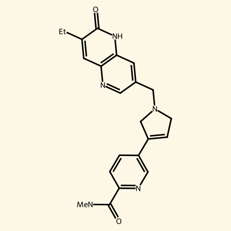 CCc1cc2ncc(CN3CC=C(c4ccc(C(=O)NC)nc4)C3)cc2[nH]c1=O